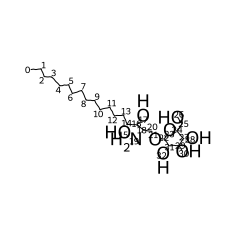 CCCCCCCCCCCCCC[C@@H](O)[C@@H](O)[C@@H](N)CO[C@H]1OC(CO)[C@H](O)C(O)C1O